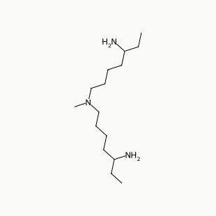 CCC(N)CCCCN(C)CCCCC(N)CC